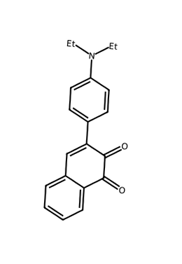 CCN(CC)c1ccc(C2=Cc3ccccc3C(=O)C2=O)cc1